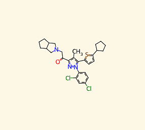 Cc1c(C(=O)CN2CC3CCCC3C2)nn(-c2ccc(Cl)cc2Cl)c1-c1ccc(C2CCCC2)s1